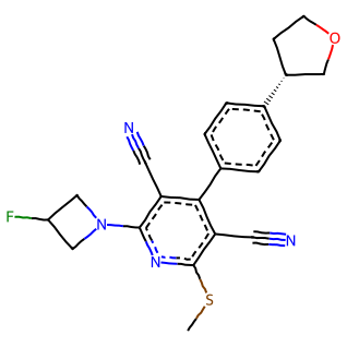 CSc1nc(N2CC(F)C2)c(C#N)c(-c2ccc([C@@H]3CCOC3)cc2)c1C#N